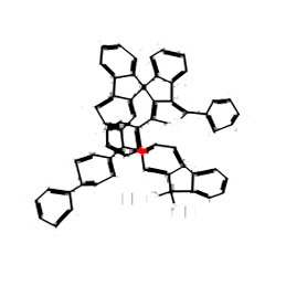 CC1(C)c2ccccc2-c2ccc(C(c3ccc(-c4ccccc4)cc3)c3ccc4c(c3)C3(c5ccccc5-4)c4ccccc4-c4c(-c5ccccc5)sc(-c5ccccc5)c43)cc21